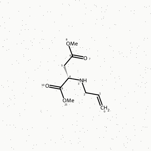 C=CCN[C@@H](CC(=O)OC)C(=O)OC